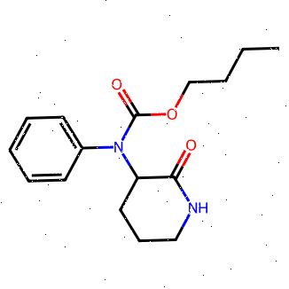 CCCCOC(=O)N(c1ccccc1)C1CCCNC1=O